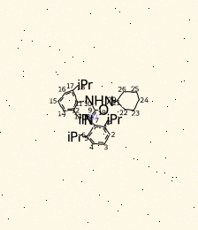 CC(C)c1cccc(C(C)C)c1/N=C(/Nc1c(C(C)C)cccc1C(C)C)ON=C1CCCCC1